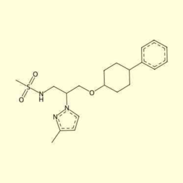 Cc1ccn(C(CNS(C)(=O)=O)COC2CCC(c3ccccc3)CC2)n1